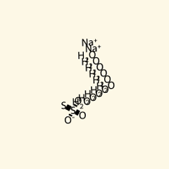 O.O.O.O.O.O.O.O.O.O.O=S([O-])([O-])=S.[Na+].[Na+]